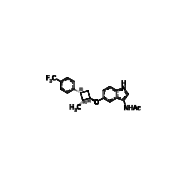 CC(=O)Nc1c[nH]c2ccc(O[C@@H]3C[C@@H](c4ccc(C(F)(F)F)cc4)[C@H]3C)cc12